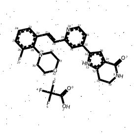 O=C(O)C(F)(F)F.O=C1NCCc2[nH]c(-c3ccnc(C=Cc4cccc(F)c4N4CCOCC4)c3)cc21